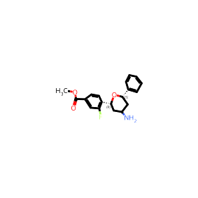 COC(=O)c1ccc([C@H]2CC(N)C[C@@H](c3ccccc3)O2)c(F)c1